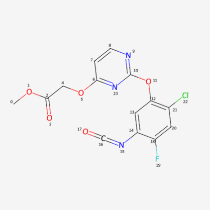 COC(=O)COc1ccnc(Oc2cc(N=C=O)c(F)cc2Cl)n1